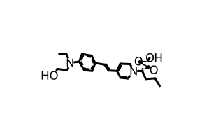 CCCC(N1C=CC(/C=C/c2ccc(N(CC)CCO)cc2)=CC1)S(=O)(=O)O